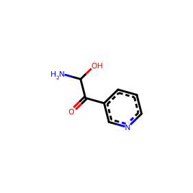 NC(O)C(=O)c1cccnc1